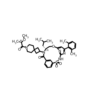 CO[C@H](C)C(=O)N1CCC2(CC1)CC(N1C(=O)c3cccc(c3)S(=O)(=O)Nc3nc(cc(-c4c(C)cccc4C)n3)OC[C@H]1CC(C)C)C2